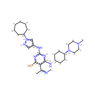 C/N=C(/C)c1c(S)nc(Nc2cnn(C3CCCCCC3)c2)nc1N[C@H]1CC[C@H](N2CCN(C)CC2)CC1